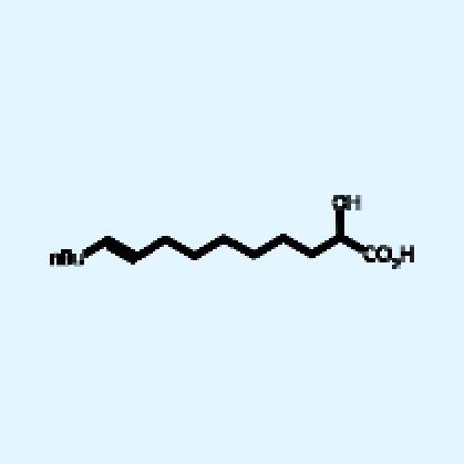 CCCCC=CCCCCCCC(O)C(=O)O